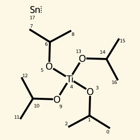 CC(C)[O][Ti]([O]C(C)C)([O]C(C)C)[O]C(C)C.[Sn]